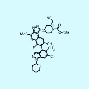 CSc1nc2c(F)c(-c3c(C)c(Cl)cc4c3cnn4C3CCCCO3)c(C)cc2c2c1nnn2[C@H]1CCN(C(=O)OC(C)(C)C)[C@H](CC#N)C1